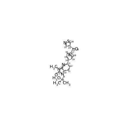 Cn1c(=O)n(CC(C)(C)C)c2ccc(C3=CC4CCC3CN4C(=O)c3cnsc3)nc21